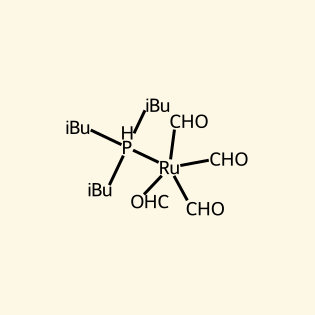 CCC(C)[PH](C(C)CC)(C(C)CC)[Ru]([CH]=O)([CH]=O)([CH]=O)[CH]=O